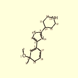 COC1(C)C=C(c2csc(C3CCNCC3)n2)C=CC1